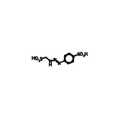 O=S(=O)(O)CNN=Nc1ccc(S(=O)(=O)O)cc1